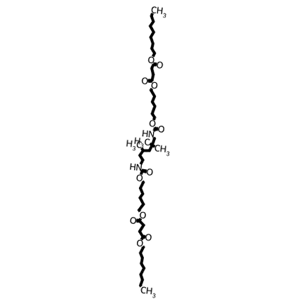 CCCCCCCCCOC(=O)CCC(=O)OCCCCCCOC(=O)NCCC(C)CC(C)(C)CNC(=O)OCCCCCCOC(=O)CCC(=O)OCCCCCCCCC